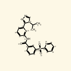 CC(C)n1cnnc1-c1cccc(NC(=O)c2cccc(S(=O)(=O)c3ccccn3)c2)n1